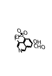 O=CO.O=S(=O)(Cl)c1cccc2cncc(F)c12